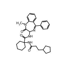 CN1C(=O)C(NC(=O)C2(NC(=O)CCC3CCCC3)CCCCC2)N=C(c2ccccc2)c2ccccc21